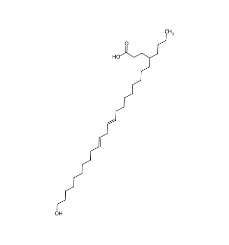 CCCCC(CCCCCCCCC=CCC=CCCCCCCCCCO)CCC(=O)O